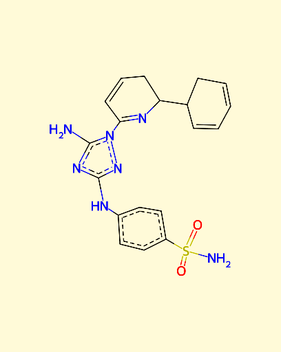 Nc1nc(Nc2ccc(S(N)(=O)=O)cc2)nn1C1=NC(C2C=CC=CC2)CC=C1